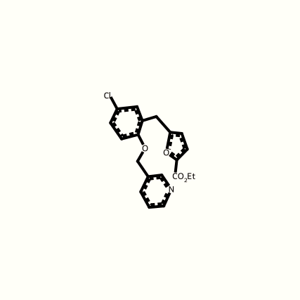 CCOC(=O)c1ccc(Cc2cc(Cl)ccc2OCc2cccnc2)o1